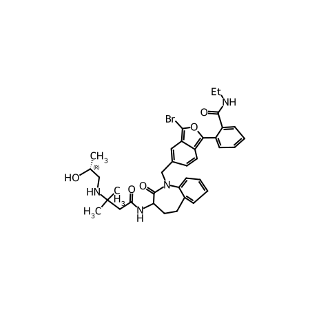 CCNC(=O)c1ccccc1-c1oc(Br)c2cc(CN3C(=O)C(NC(=O)CC(C)(C)NC[C@@H](C)O)CCc4ccccc43)ccc12